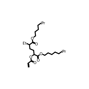 C=CC(=O)OC(CCC(CC)C(=O)OCCCCC(C)C)C(=O)OCCCCCC(C)C